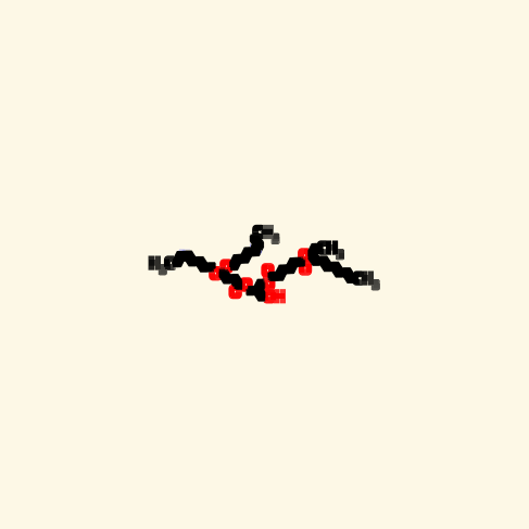 CC/C=C\CCCCOC(CCC(=O)OCC(CO)COC(=O)CCCCC(=O)OC(CC)CCCCCCCC)OCCCC/C=C\CC